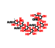 CC(=O)NC1[C@H](OC2C(O[C@@H]3C(O)[C@H](O[C@@H]4C(CO)O[C@@H](O[C@@H]5C(CO)O[C@@H](C)C(NC(C)=O)[C@H]5O)C(NC(C)=O)[C@H]4O)OC(CO)[C@H]3O)O[C@H](CO)[C@@H](O)C2O)OC(CO)[C@@H](O[C@@H]2OC(CO[C@]3(OC=O)CC(O)[C@@H](C)C([C@H](O)[C@H](O)CO)O3)[C@H](O)[C@H](O)C2O)[C@@H]1O